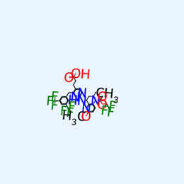 CC[C@@H]1C[C@H](Nc2ncc(CCC(=O)O)c(Cc3cc(C(F)(F)F)cc(C(F)(F)F)c3)n2)c2nc(OC)ccc2N1C(=O)OCC(F)(F)F